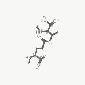 CNC(CCC(=O)OC(C)C(NC)C(=O)O)C(C)=O